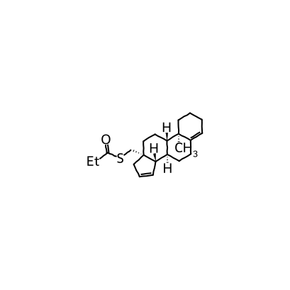 CCC(=O)SC[C@@]12CC=C[C@H]1[C@@H]1CCC3=CCCC[C@]3(C)[C@H]1CC2